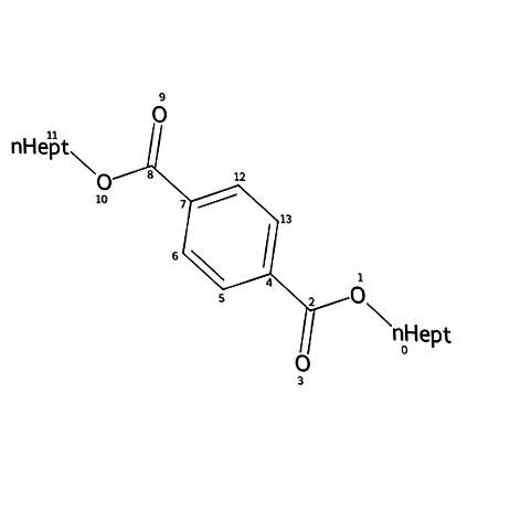 CCCCCCCOC(=O)c1ccc(C(=O)OCCCCCCC)cc1